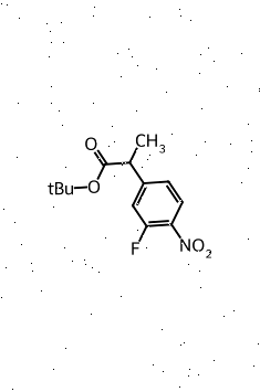 CC(C(=O)OC(C)(C)C)c1ccc([N+](=O)[O-])c(F)c1